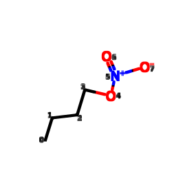 CCCCO[N+](=O)[O-]